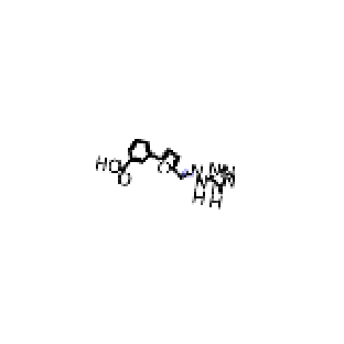 O=C(O)c1cccc(-c2ccc(/C=N/Nc3nnn[nH]3)o2)c1